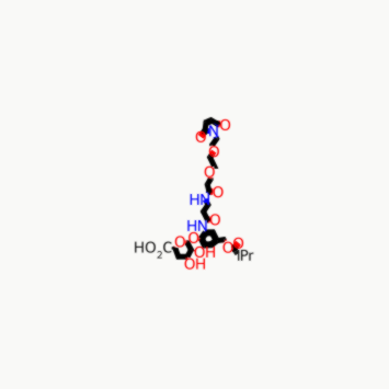 CC(C)C(=O)OCc1ccc(O[C@@H]2O[C@H](C(=O)O)CC(O)[C@H]2O)c(NC(=O)CCNC(=O)CCOCCOCCN2C(=O)C=CC2=O)c1